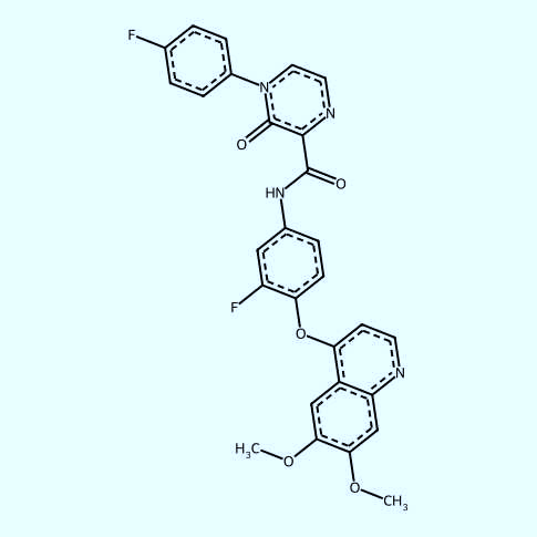 COc1cc2nccc(Oc3ccc(NC(=O)c4nccn(-c5ccc(F)cc5)c4=O)cc3F)c2cc1OC